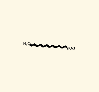 C=C/C=C/C=C/C=C/C=C/CCCCCCCCCCC